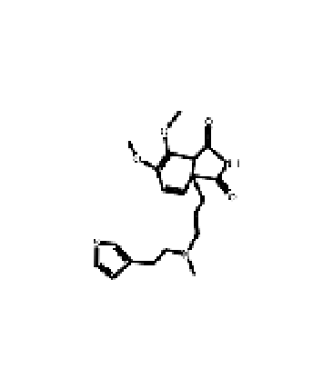 COC1=C(OC)C2C(=O)NC(=O)C2(CCCN(C)CCc2ccsc2)C=C1